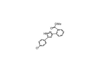 COC(=O)c1ccccc1-c1cc(-c2ccc(Cl)cc2)[nH]n1